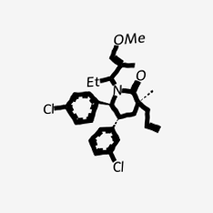 C=CC[C@@]1(C)C[C@H](c2cccc(Cl)c2)[C@@H](c2ccc(Cl)cc2)N(C(CC)C(C)=COC)C1=O